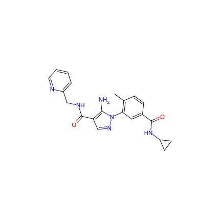 Cc1ccc(C(=O)NC2CC2)cc1-n1ncc(C(=O)NCc2ccccn2)c1N